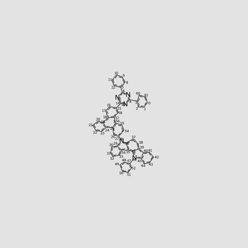 c1ccc(-c2nc(-c3ccccc3)nc(-c3ccc4c5ccccc5c5cc(-n6c7ccccc7c7c6ccc6c8ccccc8n(-c8ccccc8)c67)ccc5c4c3)n2)cc1